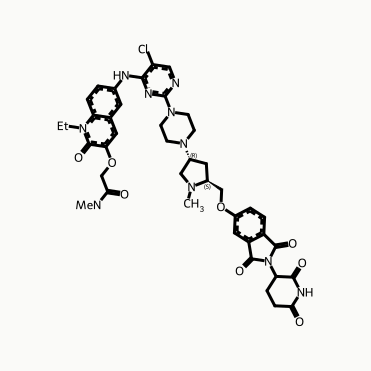 CCn1c(=O)c(OCC(=O)NC)cc2cc(Nc3nc(N4CCN([C@@H]5C[C@@H](COc6ccc7c(c6)C(=O)N(C6CCC(=O)NC6=O)C7=O)N(C)C5)CC4)ncc3Cl)ccc21